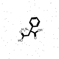 N[C@@](CC(=O)O)(C(=O)O)c1ccccc1